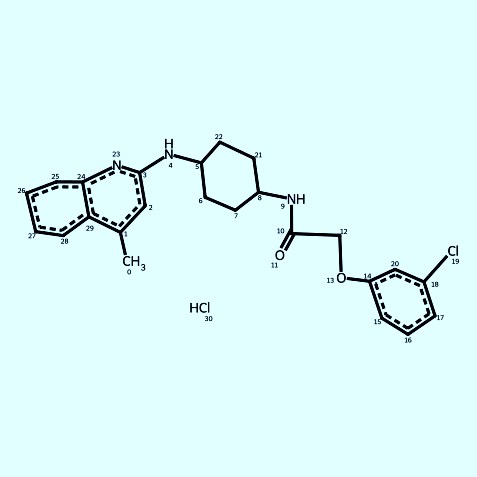 Cc1cc(NC2CCC(NC(=O)COc3cccc(Cl)c3)CC2)nc2ccccc12.Cl